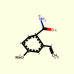 C=Cc1cc(OC)ccc1C(N)=O